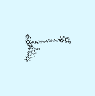 Cc1ncsc1-c1ccc(CNC(=O)[C@@H]2C[C@@H](O)CN2C(=O)[C@H](C(C)C)N2Cc3ccccc3C2=O)c(OCCOCCOCCOCCOCCOCCn2cc(-c3cc(Cl)nnc3N)cn2)c1